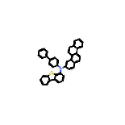 c1ccc(-c2ccc(N(c3ccc4ccc5c6ccccc6ccc5c4c3)c3cccc4c3sc3ccccc34)cc2)cc1